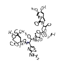 CC1(C)CC(O/N=C(\C(=O)N[C@H]2CON(C3(C(=O)O)CC(n4cc5cc(O)c(O)cn5c4=O)C(=O)O3)C2=O)c2csc(N)n2)(C(=O)O)CCO1